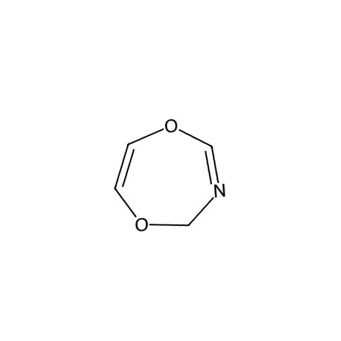 C1=COCN=CO1